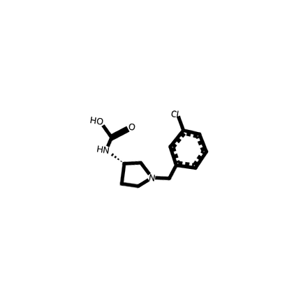 O=C(O)N[C@H]1CCN(Cc2cccc(Cl)c2)C1